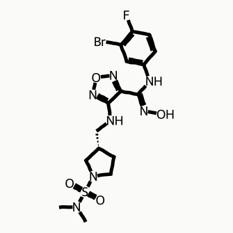 CN(C)S(=O)(=O)N1CC[C@@H](CNc2nonc2/C(=N/O)Nc2ccc(F)c(Br)c2)C1